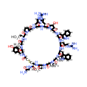 CCCC[C@H]1C(=O)N(C)[C@@H](CCCC)C(=O)N[C@@H](CC(=O)O)C(=O)N[C@H](C(=O)NCC(N)=O)CSCC(=O)N[C@@H](Cc2ccc(O)cc2)C(=O)N(C)[C@@H](C)C(=O)N[C@@H](CC(=O)O)C(=O)N2CCC[C@H]2C(=O)N[C@@H](Cc2c[nH]cn2)C(=O)N[C@@H](CCCNC(=N)N)C(=O)N2C[C@H](O)CC2C(=O)N[C@@H](Cc2c[nH]c3ccccc23)C(=O)N[C@@H](CCCNC(=N)N)C(=O)N[C@@H](Cc2c[nH]c3ccccc23)C(=O)N1C